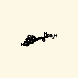 CC12CCC3C(C(O)CC4CNCC[C@@]43C)C1CCC2CCCCC(=O)NCC(=O)O